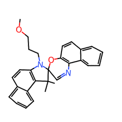 COCCCN1c2ccc3ccccc3c2C(C)(C)C12C=Nc1c(ccc3ccccc13)O2